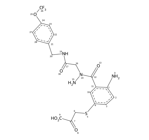 Nc1ccc(SCC(=O)C(=O)O)cc1C(=O)N(N)CC(=O)NCc1ccc(OC(F)(F)F)cc1